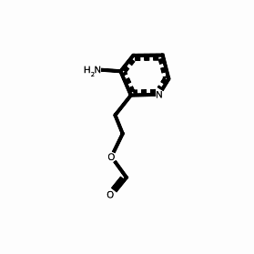 Nc1cccnc1CCOC=O